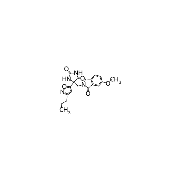 CCCc1cc([C@]2(CN3Cc4ccc(OC)cc4C3=O)NC(=O)NC2=O)on1